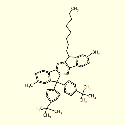 Bc1ccc2c(c1)C(CCCCCCCC)c1cc3c(cc1-2)C(c1ccc(C(C)(C)C)cc1)(c1ccc(C(C)(C)C)cc1)c1cc(C)ccc1-3